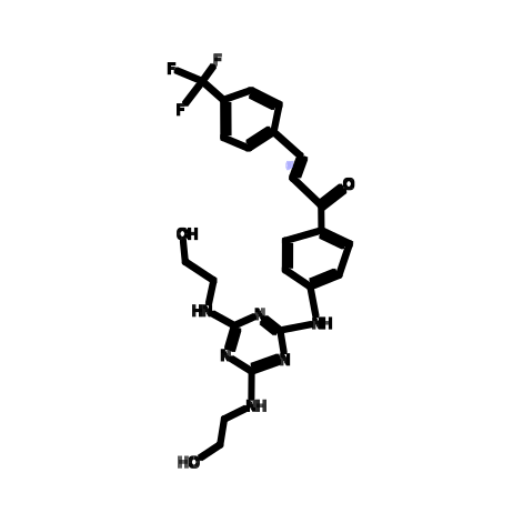 O=C(/C=C/c1ccc(C(F)(F)F)cc1)c1ccc(Nc2nc(NCCO)nc(NCCO)n2)cc1